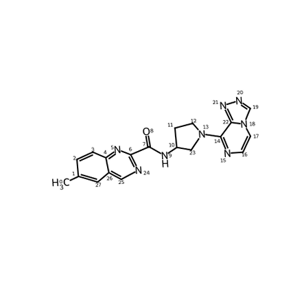 Cc1ccc2nc(C(=O)NC3CCN(c4nccn5cnnc45)C3)ncc2c1